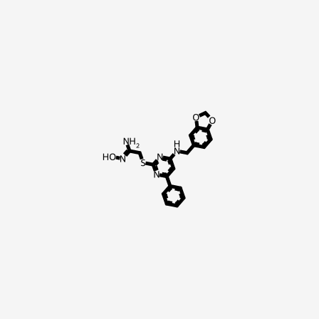 NC(CSc1nc(NCc2ccc3c(c2)OCO3)cc(-c2ccccc2)n1)=NO